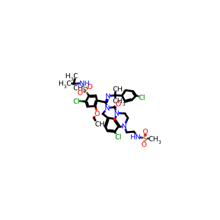 CCOc1cc(Cl)c(S(=O)(=O)NC(C)(C)C)cc1/C(=N/C(C)(C)C1C=CC(Cl)=CC1)N(Cc1ccc(Cl)cc1)C(=O)N1CCN(CCNS(C)(=O)=O)CC1